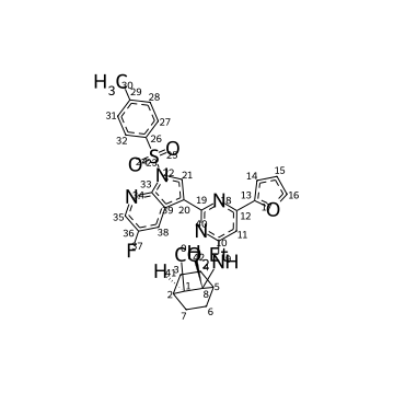 CCOC(=O)[C@@H]1C2CCC(CC2)[C@H]1Nc1cc(-c2ccco2)nc(-c2cn(S(=O)(=O)c3ccc(C)cc3)c3ncc(F)cc23)n1